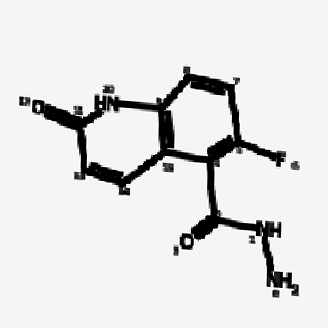 NNC(=O)c1c(F)ccc2[nH]c(=O)ccc12